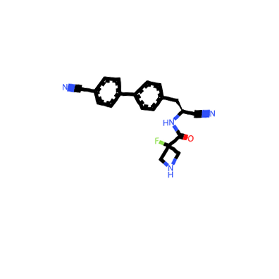 N#Cc1ccc(-c2ccc(C[C@@H](C#N)NC(=O)C3(F)CNC3)cc2)cc1